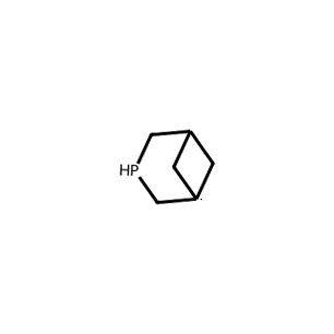 C1PCC2C[C]1C2